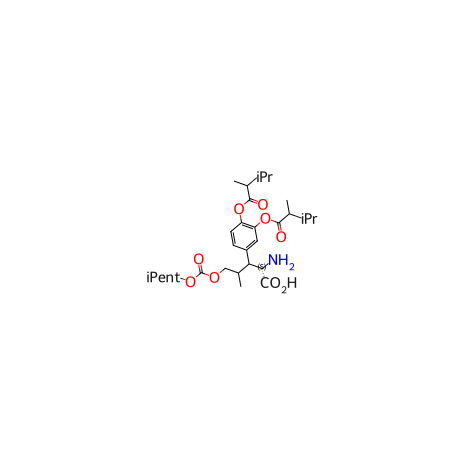 CCCC(C)OC(=O)OCC(C)C(c1ccc(OC(=O)C(C)C(C)C)c(OC(=O)C(C)C(C)C)c1)[C@H](N)C(=O)O